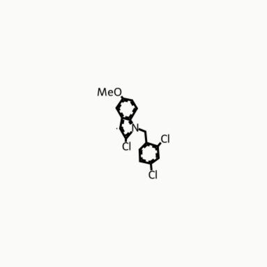 COc1ccc2c([c]c(Cl)n2Cc2ccc(Cl)cc2Cl)c1